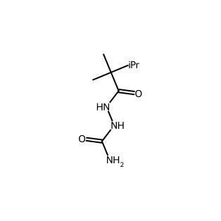 CC(C)C(C)(C)C(=O)NNC(N)=O